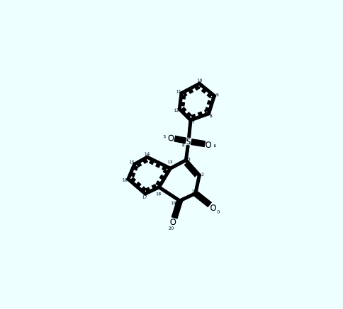 O=C1C=C(S(=O)(=O)c2ccccc2)c2ccccc2C1=O